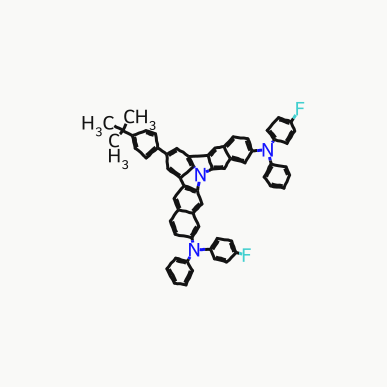 CC(C)(C)c1ccc(-c2cc3c4cc5ccc(N(c6ccccc6)c6ccc(F)cc6)cc5cc4n4c5cc6cc(N(c7ccccc7)c7ccc(F)cc7)ccc6cc5c(c2)c34)cc1